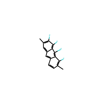 Cc1cc2cc3ccc(C)c(F)c3c(F)c2c(F)c1F